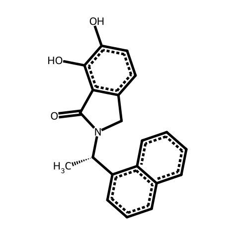 C[C@@H](c1cccc2ccccc12)N1Cc2ccc(O)c(O)c2C1=O